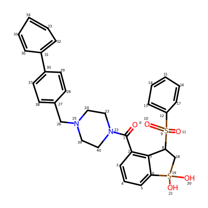 O=C(c1cccc2c1C(S(=O)(=O)c1ccccc1)CS2(O)O)N1CCN(Cc2ccc(-c3ccccc3)cc2)CC1